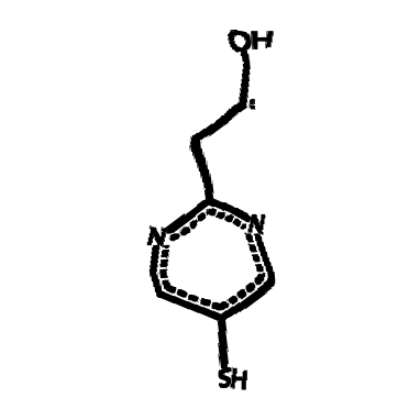 O[C]Cc1ncc(S)cn1